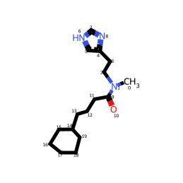 CN(CCc1c[nH]cn1)C(=O)CCCC1CCCCC1